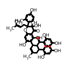 CC(C)=CCC1(c2ccc(O)cc2C)Oc2cc(O)c(C3C=C(C)CC(c4ccc(O)cc4O)C3C(=O)c3ccc(O)cc3O)c(O)c2C(=O)C1(C)O